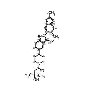 Cc1cn2cc(-c3[nH]c4ccc(C5CCN(C(=O)CC(C)(C)O)CC5)cc4c3C(C)C)c(C)cc2n1